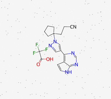 N#CCCC1(n2cc(-c3ncnc4[nH]ccc34)cn2)CCCC1.O=C(O)C(F)(F)F